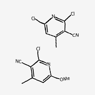 COc1cc(C)c(C#N)c(Cl)n1.Cc1cc(Cl)nc(Cl)c1C#N